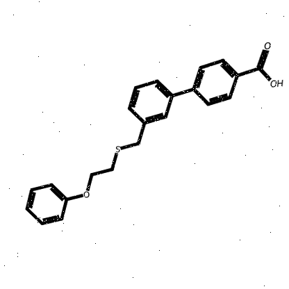 O=C(O)c1ccc(-c2cccc(CSCCOc3ccccc3)c2)cc1